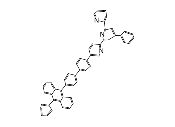 c1ccc(-c2cc(-c3ccccn3)nc(-c3ccc(-c4ccc(-c5ccc(-c6c7ccccc7c(-c7ccccc7)c7ccccc67)cc5)cc4)cn3)c2)cc1